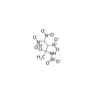 CC(O)(N[N+](=O)[O-])C(C([N+](=O)[O-])[N+](=O)[O-])[N+](=O)[O-]